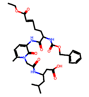 CCOC(=O)C=CCCC(NC(=O)OCc1ccccc1)C(=O)Nc1ccc(C)n(CC(=O)NC(CC(=O)O)CC(C)C)c1=O